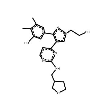 Cc1cc(-c2nn(CCO)cc2-c2ccnc(NCC3CCOC3)n2)cc(O)c1C